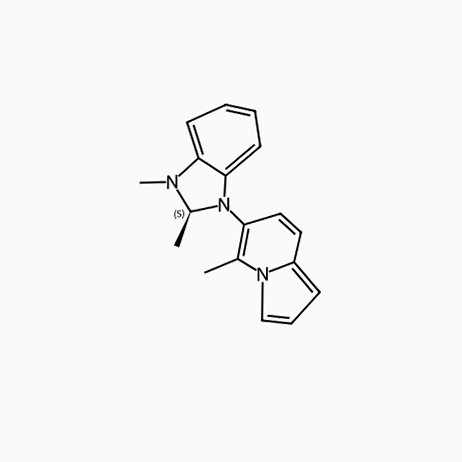 Cc1c(N2c3ccccc3N(C)[C@@H]2C)ccc2cccn12